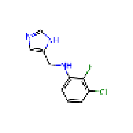 Fc1c(Cl)cccc1NCc1cnc[nH]1